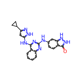 O=c1[nH][nH]c2cc(Nc3nc(Nc4cc(C5CC5)n[nH]4)c4ccccc4n3)ccc12